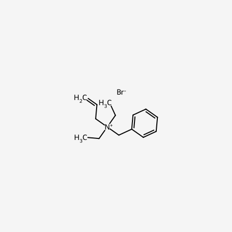 C=CC[N+](CC)(CC)Cc1ccccc1.[Br-]